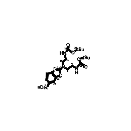 CCCCCCCCCCc1ccc2nc(N(CCNC(=O)OC(C)(C)C)CCNC(=O)OC(C)(C)C)oc2c1